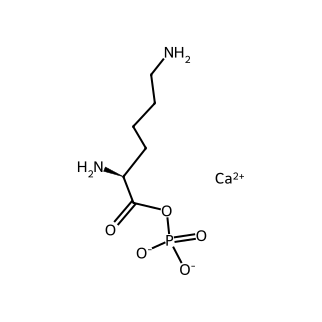 NCCCC[C@H](N)C(=O)OP(=O)([O-])[O-].[Ca+2]